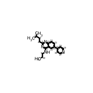 CC(C)CCc1nc(NCCO)c2cc(-c3ccncc3)ccc2n1